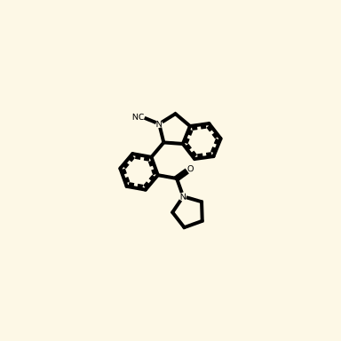 N#CN1Cc2ccccc2C1c1ccccc1C(=O)N1CCCC1